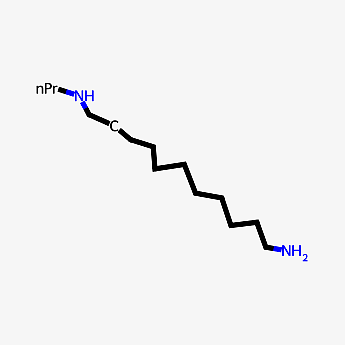 CCCNCCCCCCCCCCCN